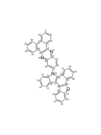 c1ccc(-c2nc3ccc(-n4c5ccccc5c5c6c7ccccc7oc6c6ccccc6c54)cc3nc2-c2ccccc2)cc1